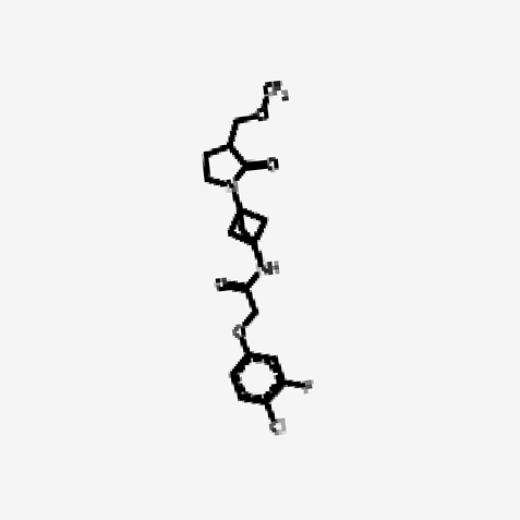 O=C(COc1ccc(Cl)c(F)c1)NC12CC(N3CCC(COC(F)(F)F)C3=O)(C1)C2